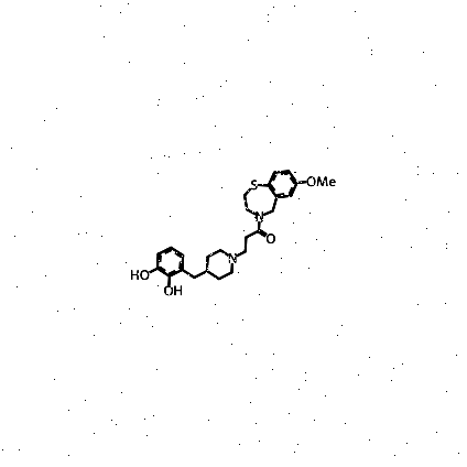 COc1ccc2c(c1)CN(C(=O)CCN1CCC(Cc3cccc(O)c3O)CC1)CCS2